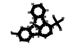 Cc1ccc2c3ccc(C(C)(C)C)c4c5ccccc5n(c2c1)c34